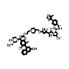 Cc1ncsc1-c1ccc([C@H](C)NC(=O)[C@@H]2C[C@@H](O)CN2C(=O)[C@@H](c2cc(OCC3CCN(CCOc4nc(N5CCN[C@@H](CC#N)C5)c5cc(Cl)c(-c6cc(O)cc7ccccc67)c(F)c5n4)CC3)no2)C(C)C)cc1